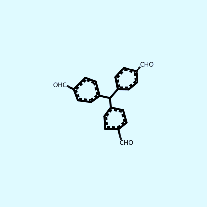 O=Cc1ccc(C(c2ccc(C=O)cc2)c2ccc(C=O)cc2)cc1